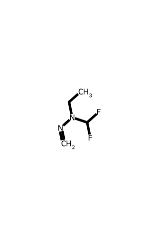 C=NN(CC)C(F)F